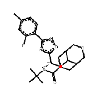 Cc1ccc(-c2noc([C@@H](C)OC3C4COCC3CN(C(=O)OC(C)(C)C)C4)n2)c(F)c1